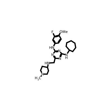 COc1ccc(Nc2nc(CNC3CCN(C)CC3)nc(NC3CCCCCC3)n2)cc1F